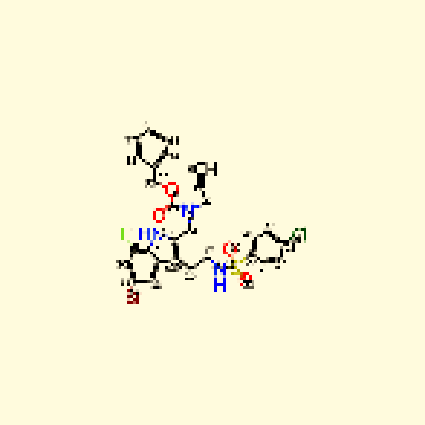 C#CCN(Cc1[nH]c2c(F)cc(Br)cc2c1CCNS(=O)(=O)c1ccc(Cl)cc1)C(=O)OCc1ccccc1